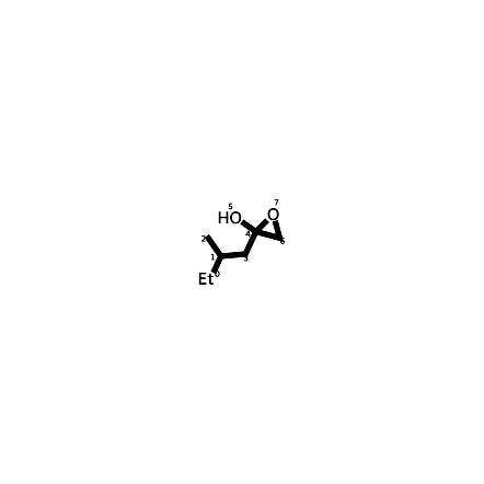 CCC(C)CC1(O)CO1